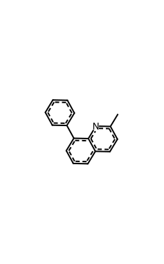 Cc1ccc2cccc(-c3ccccc3)c2n1